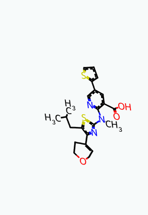 CC(C)Cc1sc(N(C)c2ncc(-c3cccs3)cc2C(=O)O)nc1C1=CCOCC1